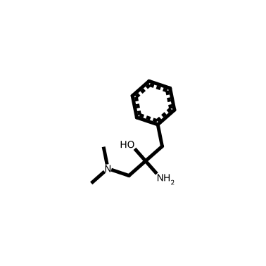 CN(C)CC(N)(O)Cc1ccccc1